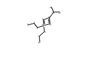 CCCP1(CCC)=CC(C(C)C)=C1